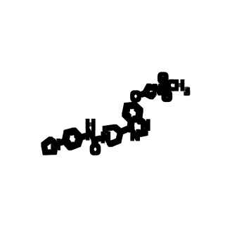 CS(=O)(=O)N1CC(Oc2ccc3c(C4CCN(C(=O)Nc5ccc(N6CCCC6)cc5)CC4)ncnc3c2)C1